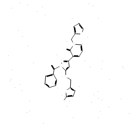 O=C(c1ccccc1)n1nc(-c2cccn(Cc3cccs3)c2=O)cc1NCc1ccc(Cl)s1